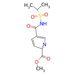 COC(=O)c1ccc(C(=O)NS(=O)(=O)C(C)C)cn1